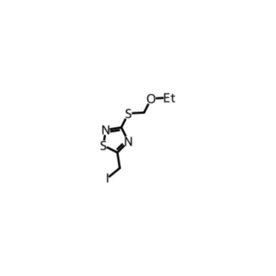 CCOCSc1nsc(CI)n1